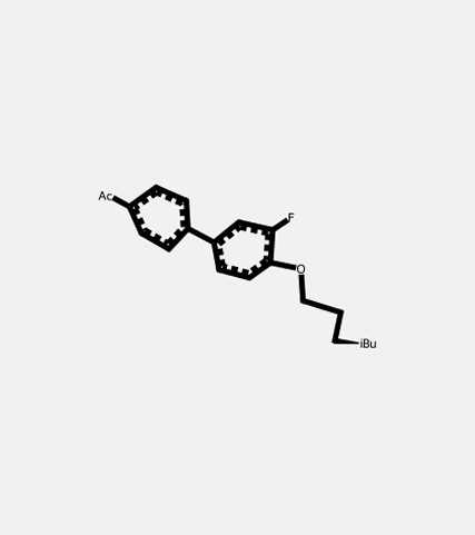 CC[C@H](C)CCCOc1ccc(-c2ccc(C(C)=O)cc2)cc1F